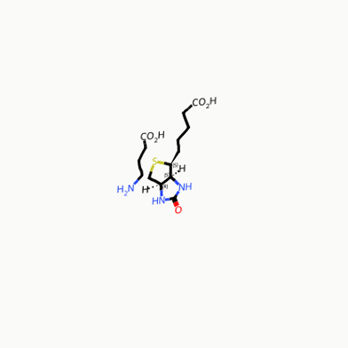 NCCCC(=O)O.O=C(O)CCCC[C@@H]1SC[C@@H]2NC(=O)N[C@@H]21